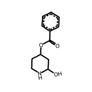 O=C(OC1CCNC(O)C1)c1ccccc1